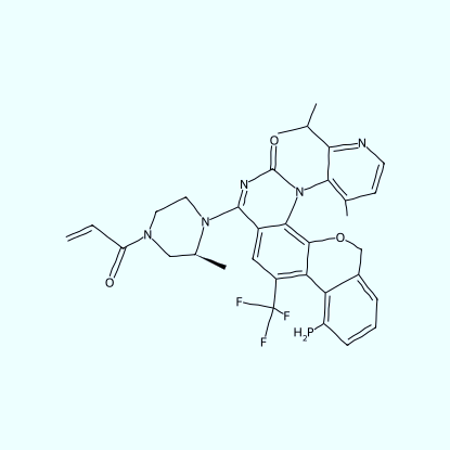 C=CC(=O)N1CCN(c2nc(=O)n(-c3c(C)ccnc3C(C)C)c3c4c(c(C(F)(F)F)cc23)-c2c(P)cccc2CO4)[C@@H](C)C1